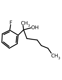 CCCCCC(C)(O)c1ccccc1F